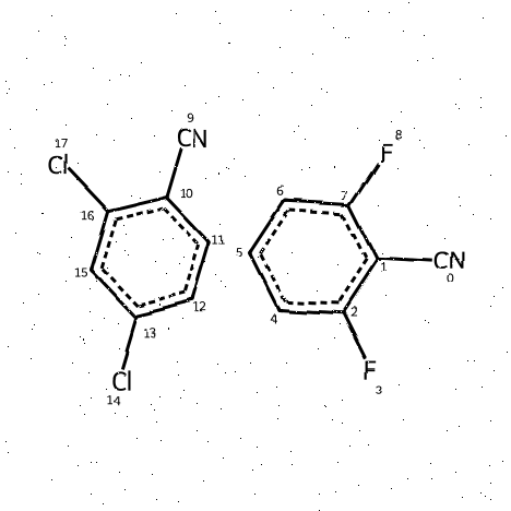 N#Cc1c(F)cccc1F.N#Cc1ccc(Cl)cc1Cl